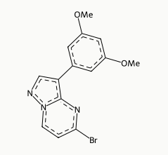 COc1cc(OC)cc(-c2cnn3ccc(Br)nc23)c1